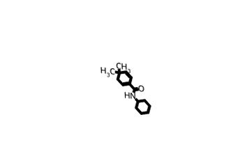 CC1(C)C=CC(C(=O)NC2CCCCC2)=CC1